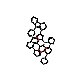 c1ccc(-c2ccc(-c3ccccc3N(c3cccc(-c4cccc5c6ccccc6n(-c6ccccc6)c45)c3)c3ccccc3-c3cccc4cccc(-c5ccccc5)c34)cc2)cc1